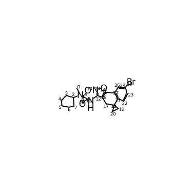 CN(C1CCCCC1)S(=O)(=O)Nc1noc2c1CC1(CC1)c1ccc(Br)cc1-2